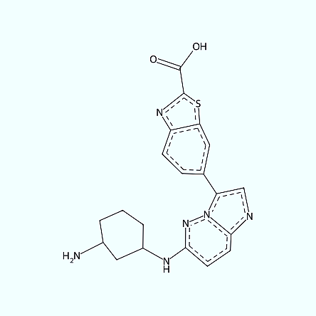 NC1CCCC(Nc2ccc3ncc(-c4ccc5nc(C(=O)O)sc5c4)n3n2)C1